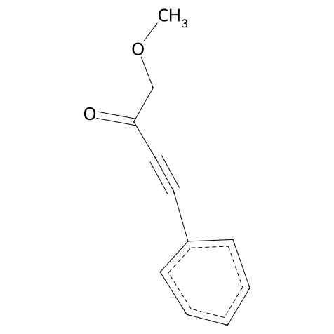 COCC(=O)C#Cc1ccccc1